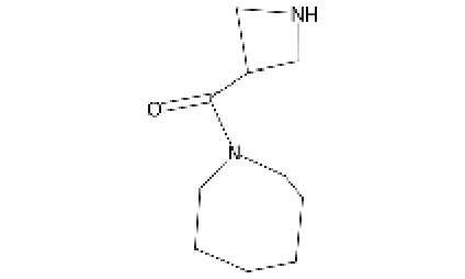 O=C(C1CNC1)N1CCCCCC1